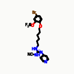 N#CN/C(=N\c1ccncc1)NCCCCCCOc1ccc(Br)cc1OC(F)(F)F